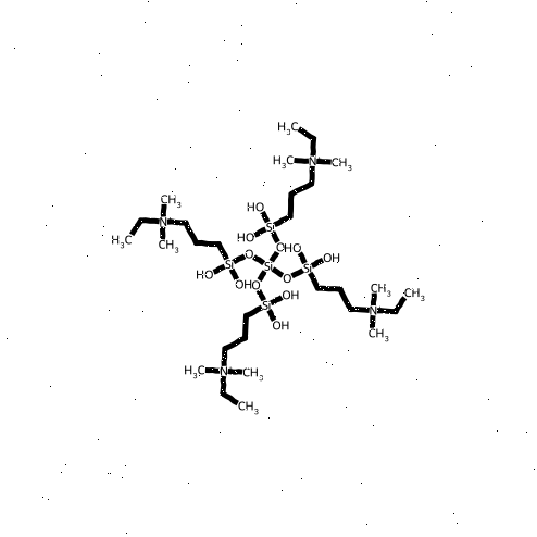 CC[N+](C)(C)CCC[Si](O)(O)O[Si](O[Si](O)(O)CCC[N+](C)(C)CC)(O[Si](O)(O)CCC[N+](C)(C)CC)O[Si](O)(O)CCC[N+](C)(C)CC